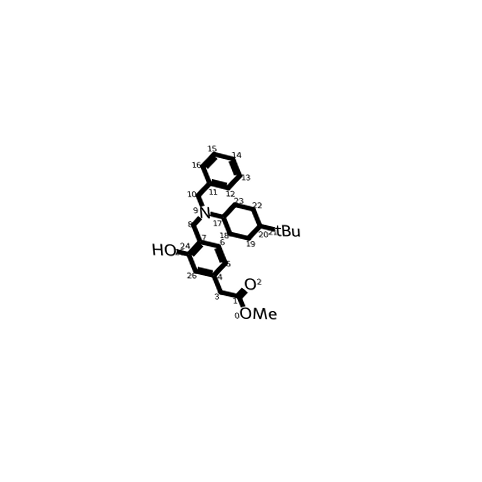 COC(=O)Cc1ccc(CN(Cc2ccccc2)C2CCC(C(C)(C)C)CC2)c(O)c1